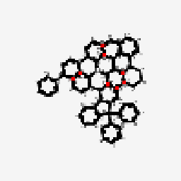 c1ccc(-c2ccc(-c3ccccc3N(c3ccccc3-c3cccc4c3-c3ccccc3C4(c3ccccc3)c3ccccc3)c3ccccc3-c3cccc4cccc(C5CCCCC5)c34)cc2)cc1